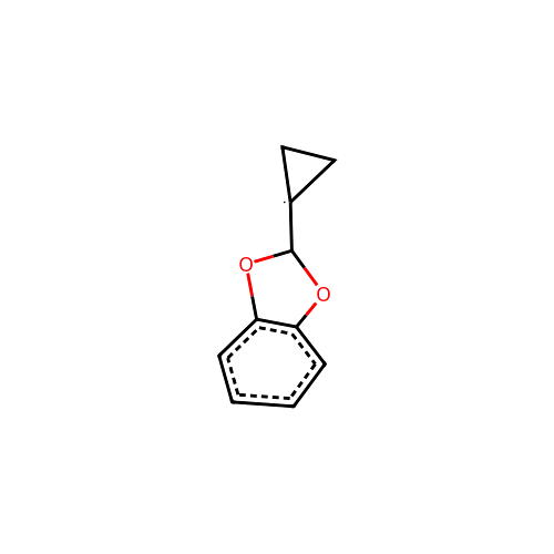 c1ccc2c(c1)OC([C]1CC1)O2